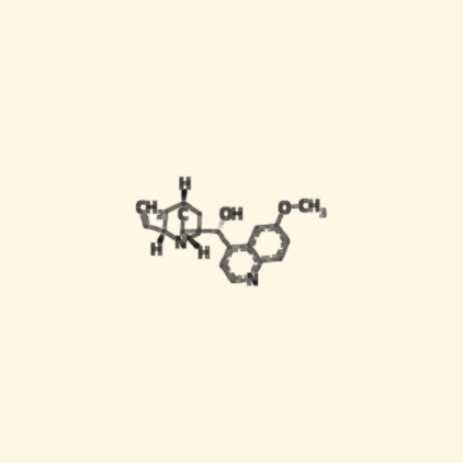 C=C[C@@H]1C[C@@H]2CCN1[C@@H]([C@H](O)c1ccnc3ccc(OC)cc13)C2